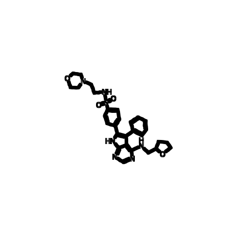 O=S(=O)(NCCN1CCOCC1)c1ccc(-c2[nH]c3ncnc(NCC4CCCO4)c3c2-c2ccccc2)cc1